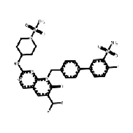 CS(=O)(=O)N1CCC(Nc2ncc3cc(C(F)F)c(=O)n(Cc4ccc(-c5ccc(F)c(S(N)(=O)=O)c5)cc4)c3n2)CC1